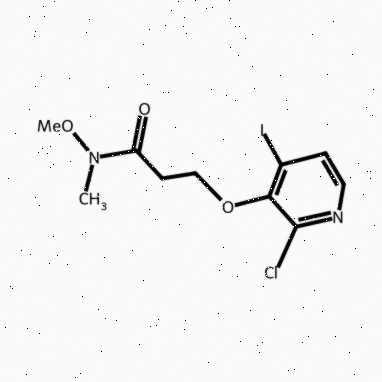 CON(C)C(=O)CCOc1c(I)ccnc1Cl